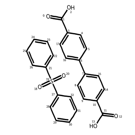 O=C(O)c1ccc(-c2ccc(C(=O)O)cc2)cc1.O=S(=O)(c1ccccc1)c1ccccc1